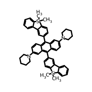 C[Si]1(C)c2ccccc2-c2cc(-c3c4ccc(N5CCCCC5)cc4c(-c4ccc5c(c4)-c4ccccc4[Si]5(C)C)c4ccc(N5CCCCC5)cc34)ccc21